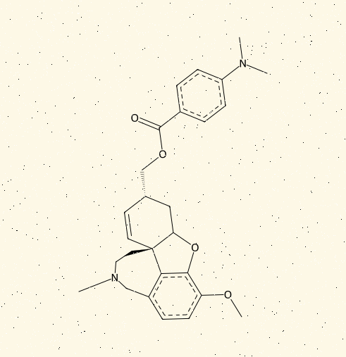 COc1ccc2c3c1OC1C[C@@H](COC(=O)c4ccc(N(C)C)cc4)C=C[C@@]31CCN(C)C2